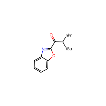 CCCC(C(=O)c1nc2ccccc2o1)C(C)(C)C